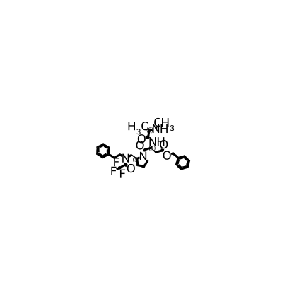 CN[C@@H](C)C(=O)N[C@@H](CC(=O)OCc1ccccc1)C(=O)N1CCC[C@H]1CN(CCc1ccccc1)C(=O)C(F)(F)F